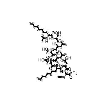 C#CC[C@H](NC(=O)[C@H](CC(=O)O)NC(=O)C(CCCCCCCC)NC(=O)[C@H](CC(=O)O)NC(=O)[C@H](CC(C)C)N(C)C(=O)[C@H](CO)NC(=O)[C@H](CC(C)C)NC(=O)[C@H](CO)NC(=O)[C@H](CCCCCCCC)NC(C)=O)C(N)=O